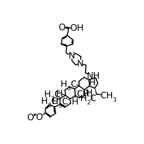 C=C(C)[C@@H]1CC[C@]2(NCCN3CCN(Cc4ccc(C(=O)O)cc4)CC3)CC[C@]3(C)[C@H](CC[C@@H]4[C@@]5(C)CC=C(c6ccc(OC=O)cc6)C(C)(C)[C@@H]5CC[C@]43C)[C@@H]12